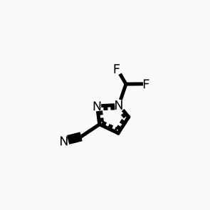 N#Cc1ccn(C(F)F)n1